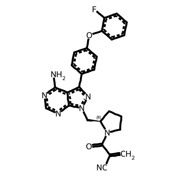 C=C(C#N)C(=O)N1CCC[C@@H]1Cn1nc(-c2ccc(Oc3ccccc3F)cc2)c2c(N)ncnc21